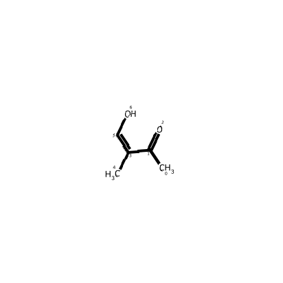 CC(=O)/C(C)=C\O